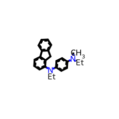 CCN(C)c1ccc(N(CC)c2cccc3c2Cc2ccccc2-3)cc1